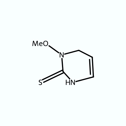 CON1CC=CNC1=S